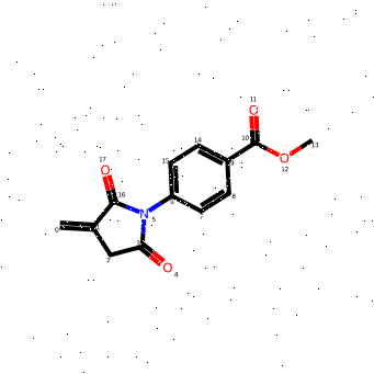 C=C1CC(=O)N(c2ccc(C(=O)OC)cc2)C1=O